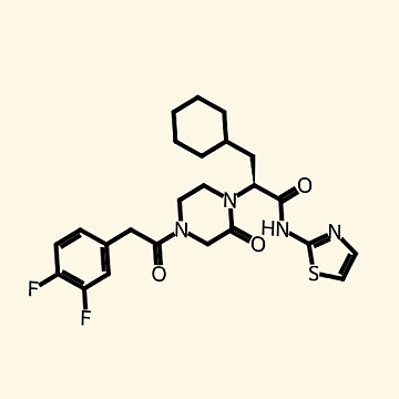 O=C(Nc1nccs1)[C@H](CC1CCCCC1)N1CCN(C(=O)Cc2ccc(F)c(F)c2)CC1=O